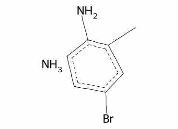 Cc1cc(Br)ccc1N.N